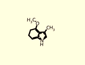 COC1=c2c(C)c[nH]c2=CCC1